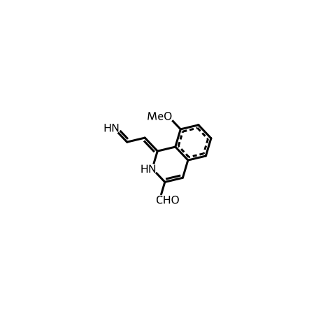 COc1cccc2c1/C(=C/C=N)NC(C=O)=C2